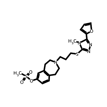 Cn1c(SCCCN2CCc3ccc(OS(C)(=O)=O)cc3CC2)nnc1-c1ccco1